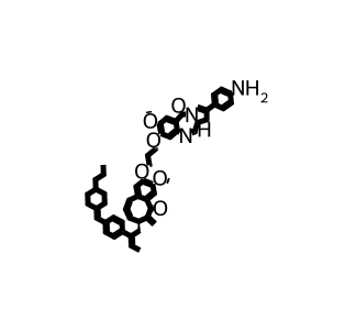 C=C1C(=O)c2cc(OC)c(OCCCOc3cc4c(cc3OC)C(=O)N3C=C(c5ccc(N)cc5)C[C@H]3C=N4)cc2C=C=C[C@@H]1C/C(=C\C)c1ccc(C=C2CCC(CCC)CC2)cc1